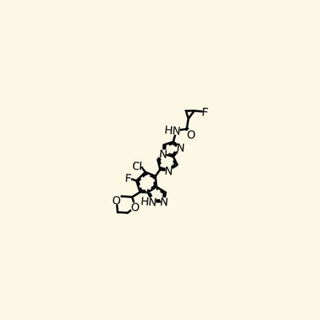 O=C(Nc1cn2cc(-c3c(Cl)c(F)c(C4COCCO4)c4[nH]ncc34)ncc2n1)C1CC1F